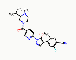 Cc1cc(C#N)c(F)cc1-c1cnn(-c2ccc(C(=O)N3CCN(C)C(C(C)C)C3)cn2)c1O